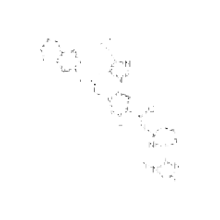 CC(C)n1cnnc1-c1cccc(NC(=O)c2cc3c(cc2F)CN(Cc2ccc4ccccc4c2)Cc2c(C4CC4)ncn2-3)n1